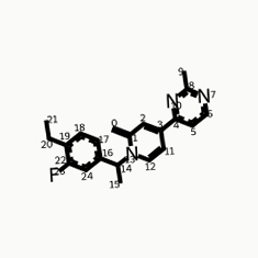 C=C1C=C(c2ccnc(C)n2)C=CN1C(C)c1ccc(CC)c(F)c1